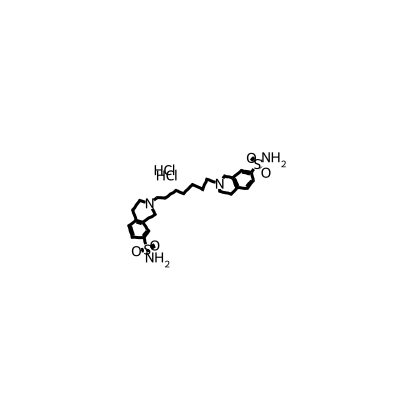 Cl.Cl.NS(=O)(=O)c1ccc2c(c1)CN(CCCCCCCN1CCc3ccc(S(N)(=O)=O)cc3C1)CC2